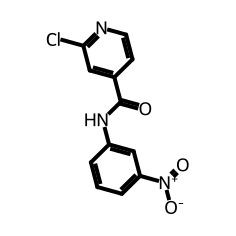 O=C(Nc1cccc([N+](=O)[O-])c1)c1ccnc(Cl)c1